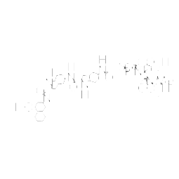 CN[C@@H](CC(=O)O)C(=O)N[C@@H](CSSCCC(=O)Nc1ccc2[nH]c(C(=O)Nc3ccc4[nH]c(C(=O)N5CC(C)c6c5cc(O)c5ccccc65)cc4c3)cc2c1)C(=O)O